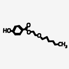 CCCCCCOCCOC(=O)c1ccc(O)cc1